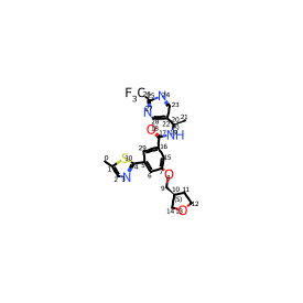 Cc1cnc(-c2cc(OC[C@H]3CCOC3)cc(C(=O)N[C@H](C)c3cnc(C(F)(F)F)nc3)c2)s1